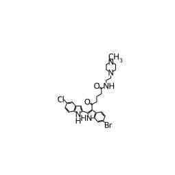 CN1CCN(CCNC(=O)CCCC(=O)c2c(-c3cc4cc(Cl)ccc4[nH]3)[nH]c3cc(Br)ccc23)CC1